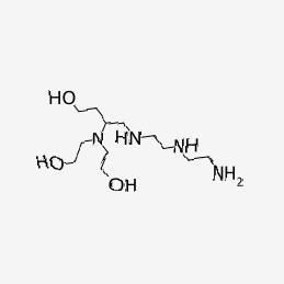 NCCNCCNCC(CCO)N(CCO)CCO